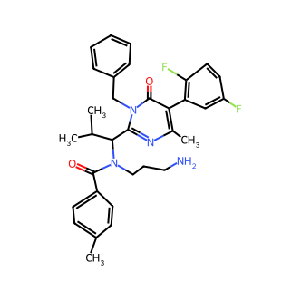 Cc1ccc(C(=O)N(CCCN)C(c2nc(C)c(-c3cc(F)ccc3F)c(=O)n2Cc2ccccc2)C(C)C)cc1